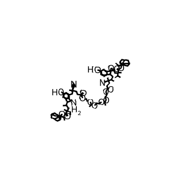 CCC(C)(CC(C)C1c2cc(O)cc(CC(C)(C#N)CCC(=O)OCCOC(C)OCCOC(C)OCCOC(=O)CCC(C)(C#N)C(C)CC3C4=C=C=C(O)C=C4C34OC4(C)CC(C)(C(=O)OC3(CC)C4CC5CC(C4)CC3C5)C(C)C)c2C1N)C(=O)OC1(CC)C2CC3CC(C2)CC1C3